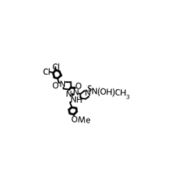 COc1ccc(CNc2nc3c(c(=O)n2C2CCCN(SN(C)O)C2)CCN(C(=O)c2ccc(Cl)c(Cl)c2)C3)cc1